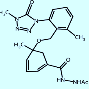 CC(=O)NNC(=O)C1=CC=CC(C)(OCc2c(C)cccc2-n2nnn(C)c2=O)C1